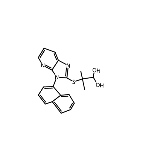 CC(C)(Sc1nc2cccnc2n1-c1cccc2ccccc12)C(O)O